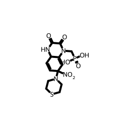 O=C1NC2C=CC(N3CCSCC3)([N+](=O)[O-])C=C2N(CP(=O)(O)O)C1=O